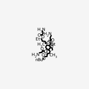 CCCCOC(=O)CC[C@@H](C)[C@H]1CC[C@H]2C([C@@H](CC)OC(=O)CCN)[C@@H](C(C)(C)CC[C@H](CC)OC(=O)CCN)C[C@H](OC(=O)CCN)[C@]12C